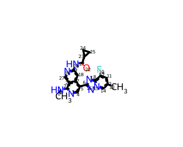 CNc1ncc(-c2nc3c(F)cc(C)cn3n2)c2cc(NC(=O)C3CC3)ncc12